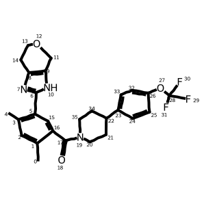 Cc1cc(C)c(-c2nc3c([nH]2)COCC3)cc1C(=O)N1CCC(c2ccc(OC(F)(F)F)cc2)CC1